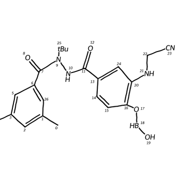 Cc1cc(C)cc(C(=O)N(NC(=O)c2ccc(OBO)c(NCC#N)c2)C(C)(C)C)c1